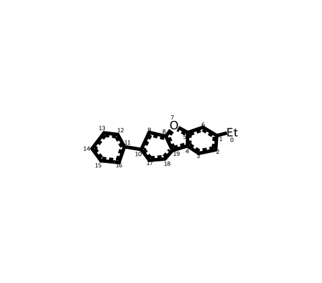 CCc1ccc2c(c1)oc1cc(-c3ccccc3)ccc12